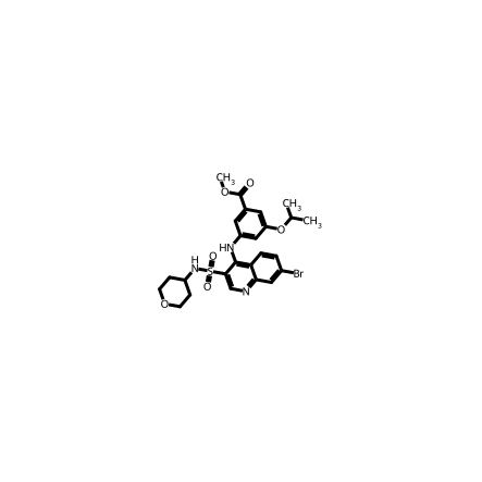 COC(=O)c1cc(Nc2c(S(=O)(=O)NC3CCOCC3)cnc3cc(Br)ccc23)cc(OC(C)C)c1